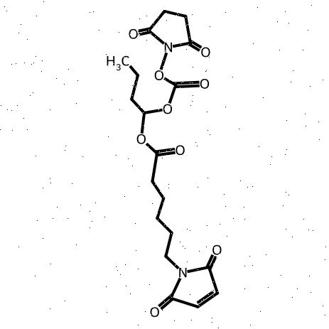 CCCC(OC(=O)CCCCCN1C(=O)C=CC1=O)OC(=O)ON1C(=O)CCC1=O